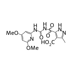 COc1cc(NC(=O)NS(=O)(=O)c2[nH]nc(C)c2C(=O)O)nc(OC)c1